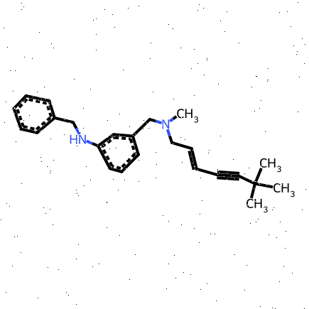 CN(CC=CC#CC(C)(C)C)Cc1cccc(NCc2ccccc2)c1